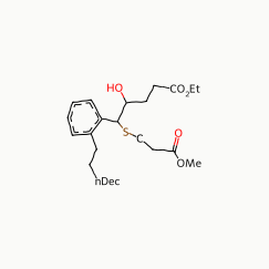 CCCCCCCCCCCCc1ccccc1C(SCCC(=O)OC)C(O)CCC(=O)OCC